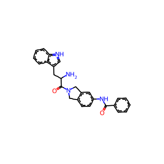 NC(Cc1c[nH]c2ccccc12)C(=O)N1Cc2ccc(NC(=O)c3ccccc3)cc2C1